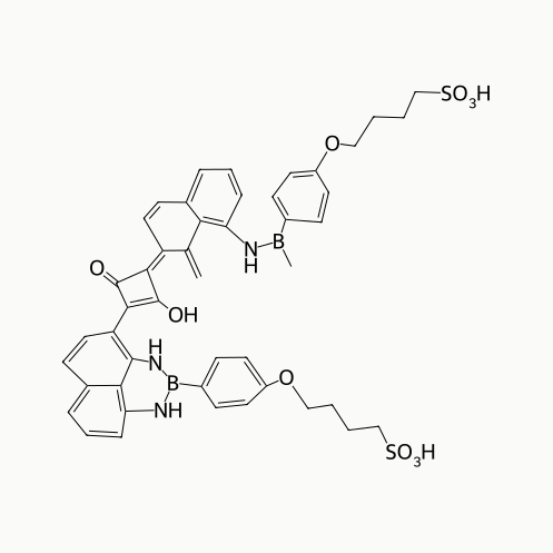 C=c1/c(=C2/C(=O)C(c3ccc4cccc5c4c3NB(c3ccc(OCCCCS(=O)(=O)O)cc3)N5)=C2O)ccc2cccc(NB(C)c3ccc(OCCCCS(=O)(=O)O)cc3)c12